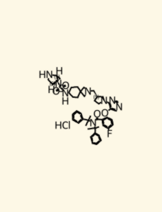 CC(C)(c1ccccc1)N(C(=O)c1cc(F)ccc1Oc1cncnc1N1CC[C@@H](CN2CC3(CCC(NS(=O)(=O)N4C[C@@H]5C[C@H]4CN5)CC3)C2)C1)C(C)(C)c1ccccc1.Cl